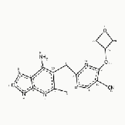 Cc1nc2nonc2c(N)c1Cc1ccc(C#N)c(OC2COC2)n1